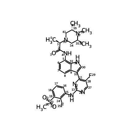 C[C@H](C(=O)Nc1cccc2c(-c3nc(Nc4cccc(S(C)(=O)=O)c4F)ncc3F)c[nH]c12)N1C[C@H](C)N(C)[C@@H](C)C1